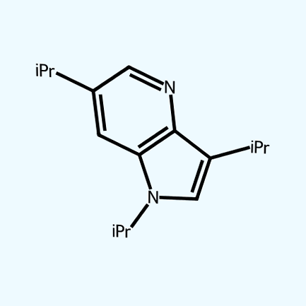 CC(C)c1cnc2c(C(C)C)cn(C(C)C)c2c1